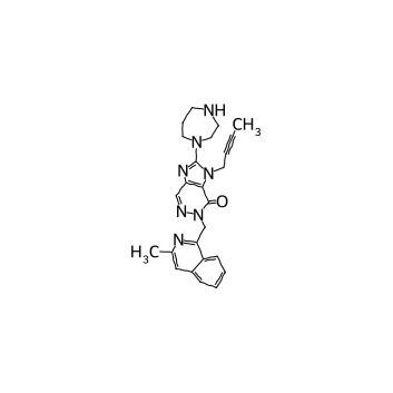 CC#CCn1c(N2CCCNCC2)nc2cnn(Cc3nc(C)cc4ccccc34)c(=O)c21